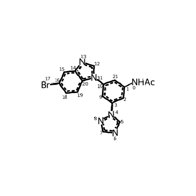 CC(=O)Nc1cc(-n2cncn2)cc(-n2cnc3cc(Br)ccc32)c1